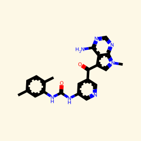 Cc1ccc(C)c(NC(=O)Nc2cncc(C(=O)c3cn(C)c4ncnc(N)c34)c2)c1